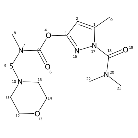 Cc1cc(OC(=O)N(C)SN2CCOCC2)nn1C(=O)N(C)C